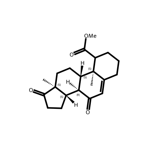 COC(=O)C1CCCC2=CC(=O)[C@H]3[C@@H]4CCC(=O)[C@@]4(C)CC[C@@H]3[C@]21C